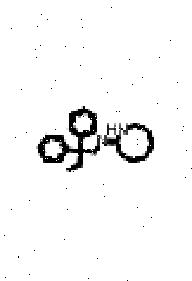 CCC(C/N=C1\CCCCCCN1)(c1ccccc1)c1ccccc1